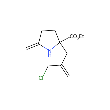 C=C(CCl)CC1(C(=O)OCC)CCC(=C)N1